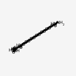 NCCNC(=O)CCOCCOCCOCCOCCOCCOCCOCCOCCOCCOCCOCCOCCNC(=O)CCCC[C@@H]1SC[C@@H]2NC(=O)N[C@@H]21